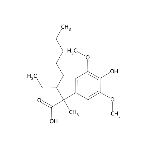 CCCCCC(CC)C(C)(C(=O)O)c1cc(OC)c(O)c(OC)c1